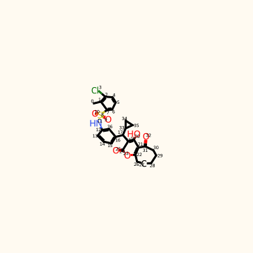 Cc1c(Cl)cccc1S(=O)(=O)Nc1cccc(C(c2c(O)c3c(oc2=O)CCCCCC3=O)C2CC2)c1